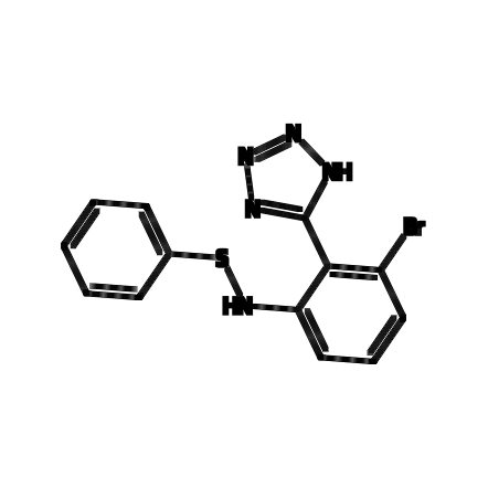 Brc1cccc(NSc2ccccc2)c1-c1nnn[nH]1